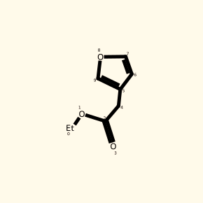 CCOC(=O)Cc1ccoc1